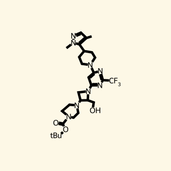 Cc1cnn(C)c1C1CCN(c2cc(N3CC(N4CCN(C(=O)OC(C)(C)C)CC4)C3CO)nc(C(F)(F)F)n2)CC1